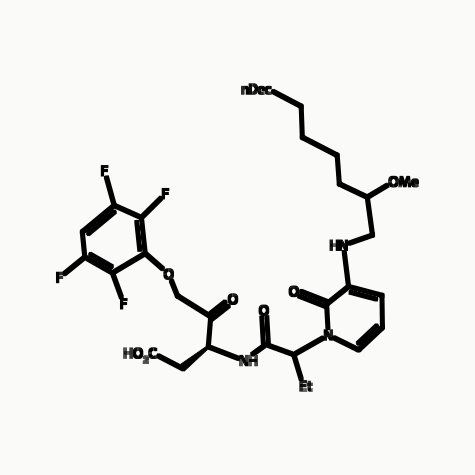 CCCCCCCCCCCCCCC(CNc1cccn(C(CC)C(=O)N[C@@H](CC(=O)O)C(=O)COc2c(F)c(F)cc(F)c2F)c1=O)OC